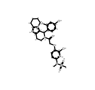 CN(c1ccc(OCC(=O)N2CCc3nc4n(c3C2c2ccc(Cl)cc2F)CCCC4)c(Cl)n1)S(C)(=O)=O